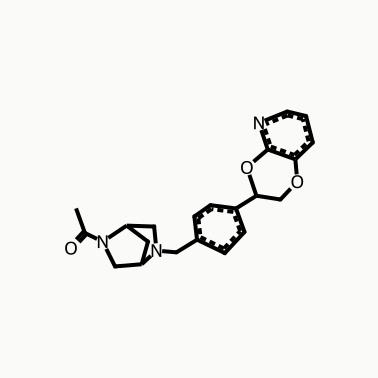 CC(=O)N1CC2CC1CN2Cc1ccc(C2COc3cccnc3O2)cc1